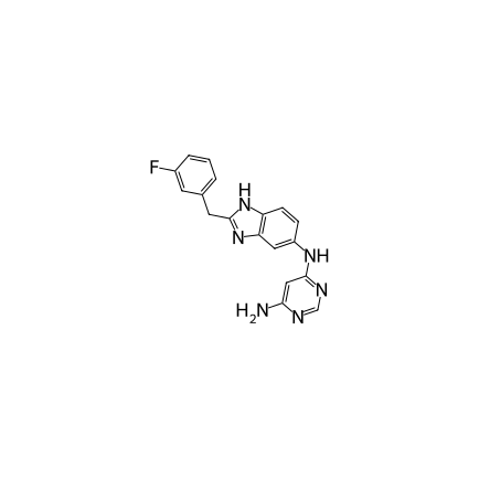 Nc1cc(Nc2ccc3[nH]c(Cc4cccc(F)c4)nc3c2)ncn1